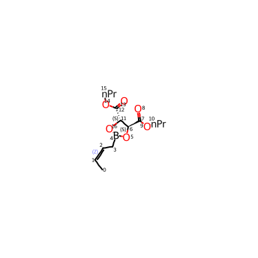 C/C=C\CB1O[C@H](C(=O)OCCC)[C@@H](C(=O)OCCC)O1